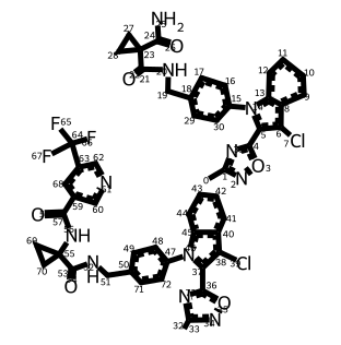 Cc1noc(-c2c(Cl)c3ccccc3n2-c2ccc(CNC(=O)C3(C(N)=O)CC3)cc2)n1.Cc1noc(-c2c(Cl)c3ccccc3n2-c2ccc(CNC(=O)C3(NC(=O)c4cncc(C(F)(F)F)c4)CC3)cc2)n1